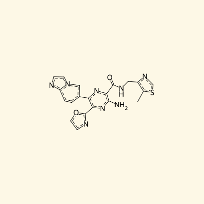 Cc1scnc1CNC(=O)c1nc(-c2ccc3nccn3c2)c(-c2ncco2)nc1N